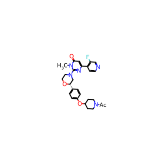 CC(=O)N1CCC(Oc2ccc([C@H]3CN(c4nc(-c5ccncc5F)cc(=O)n4C)CCO3)cc2)CC1